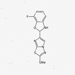 CSc1nn2cc(C3Nc4cccc(F)c4O3)nc2s1